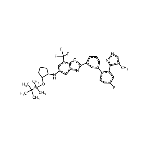 Cn1cnnc1-c1cc(F)ccc1-c1cccc(-c2nc3cc(N[C@@H]4CCCC4O[Si](C)(C)C(C)(C)C)cc(C(F)(F)F)c3o2)c1